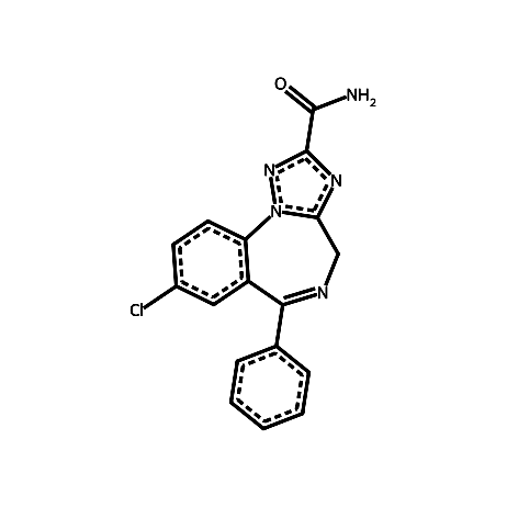 NC(=O)c1nc2n(n1)-c1ccc(Cl)cc1C(c1ccccc1)=NC2